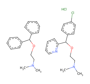 CN(C)CCOC(c1ccc(Cl)cc1)c1ccccn1.CN(C)CCOC(c1ccccc1)c1ccccc1.Cl